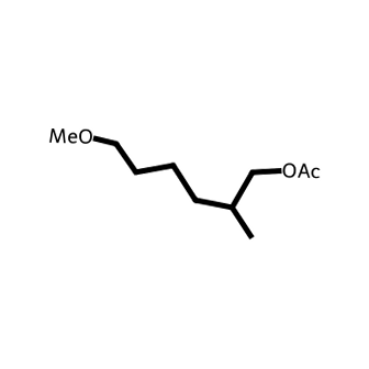 COCCCCC(C)COC(C)=O